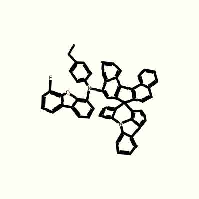 CCc1ccc(N(c2cc3c(c4ccccc24)-c2c(ccc4ccccc24)C32c3ccccc3-n3c4ccccc4c4cccc2c43)c2cccc3c2oc2c(F)cccc23)cc1